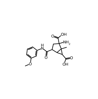 COc1cccc(NC(=O)C2CC(N)(C(=O)O)C3(C)C(C(=O)O)C23)c1